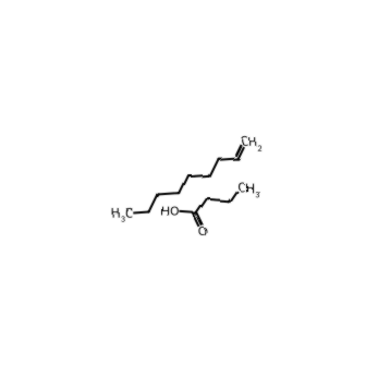 C=CCCCCCCC.CCCC(=O)O